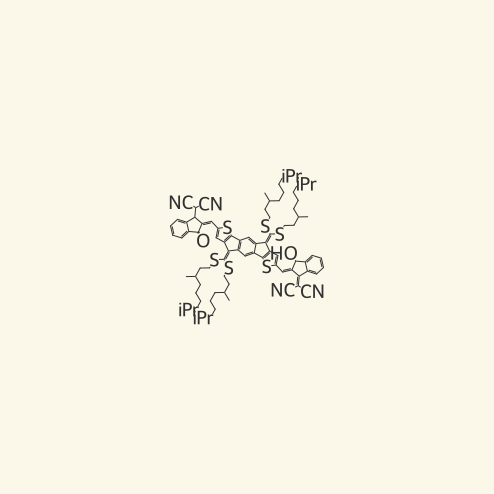 CC(C)CCCC(C)CCSC(SCCC(C)CCCC(C)C)=C1c2cc3c(cc2-c2sc(/C=C4/C(=C(C#N)C#N)c5ccccc5C4O)cc21)C(=C(SCCC(C)CCCC(C)C)SCCC(C)CCCC(C)C)c1cc(/C=C2\C(=O)c4ccccc4C2C(C#N)C#N)sc1-3